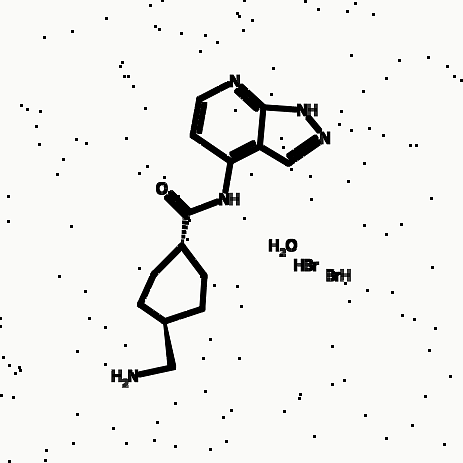 Br.Br.NC[C@H]1CC[C@H](C(=O)Nc2ccnc3[nH]ncc23)CC1.O